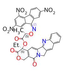 CC[C@@]1(OC(=O)[C@H](C)O/N=C2/c3cc([N+](=O)[O-])ccc3-c3c2cc([N+](=O)[O-])cc3[N+](=O)[O-])C(=O)OCc2c1cc1n(c2=O)Cc2cc3ccccc3nc2-1